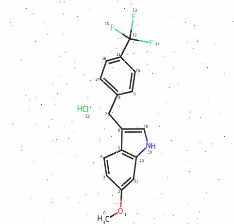 COc1ccc2c([CH]c3ccc(C(F)(F)F)cc3)c[nH]c2c1.Cl